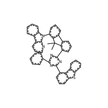 CC1(C)c2c(-c3nc(-c4ccccc4)nc(-c4cccc5sc6ccccc6c45)n3)cccc2-c2cccc(-n3c4ccccc4c4cccnc43)c21